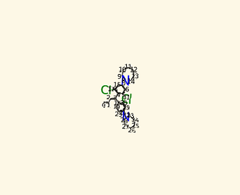 C=CC=C(c1ccc(N2CCCCCC2)cc1Cl)c1ccc(N2CCCCCC2)cc1Cl